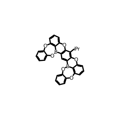 CC(C)c1c2c(cc3c1Oc1cccc4c1B3Oc1ccccc1O4)B1Oc3ccccc3Oc3cccc(c31)O2